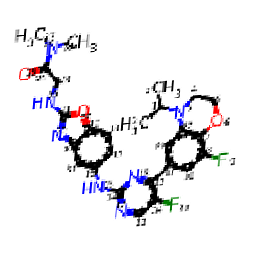 CC(C)N1CCOc2c(F)cc(-c3nc(Nc4ccc5oc(NCC(=O)N(C)C)nc5c4)ncc3F)cc21